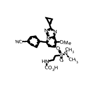 CN(C)S(=O)(=O)CCNC(=O)O.COc1ccc(-c2ccc(C#N)cc2)n2nc(C3CC3)nc12